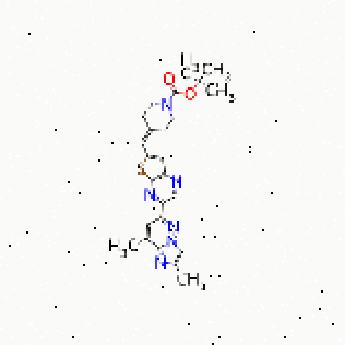 Cc1cn2nc(-c3cnc4cc(C=C5CCN(C(=O)OC(C)(C)C)CC5)sc4n3)cc(C)c2n1